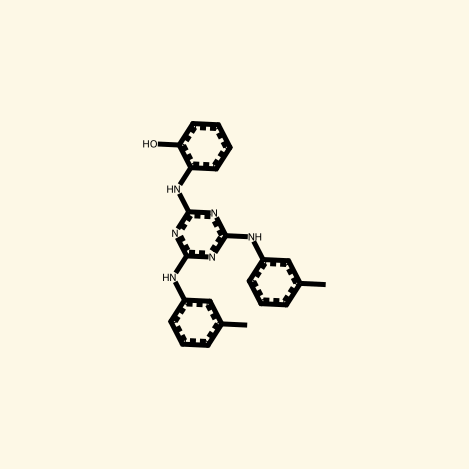 Cc1cccc(Nc2nc(Nc3cccc(C)c3)nc(Nc3ccccc3O)n2)c1